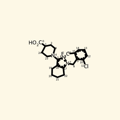 O=C(O)C1CCN(c2nn(Cc3c(Cl)cccc3C(F)(F)F)c3c2CCCC3)CC1